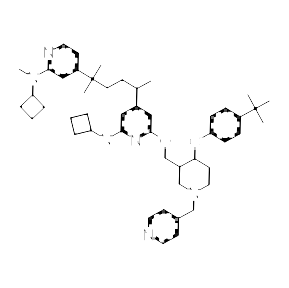 CC(CCC(C)(C)c1ccnc(N(C)C2CCC2)c1)c1cc(NC2CCC2)nc(OCC2CN(Cc3ccncc3)CCC2Oc2ccc(C(C)(C)C)cc2)c1